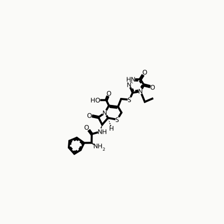 CCn1c(SCC2=C(C(=O)O)N3C(=O)[C@@H](NC(=O)[C@H](N)c4ccccc4)[C@@H]3SC2)n[nH]c(=O)c1=O